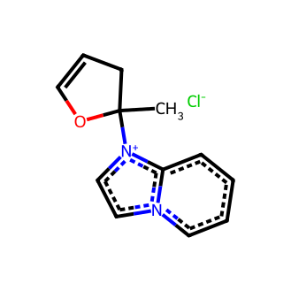 CC1([n+]2ccn3ccccc32)CC=CO1.[Cl-]